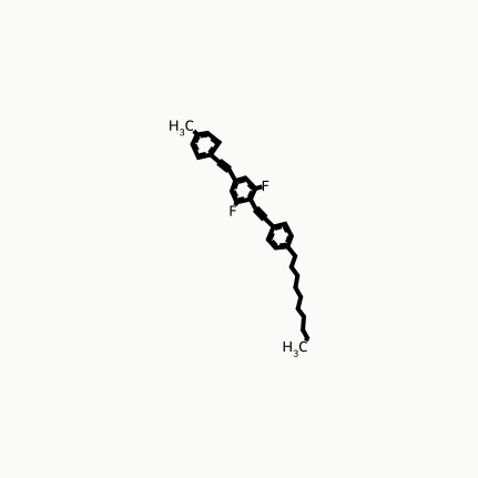 CCCCCCCCCCc1ccc(C#Cc2c(F)cc(C#Cc3ccc(C)cc3)cc2F)cc1